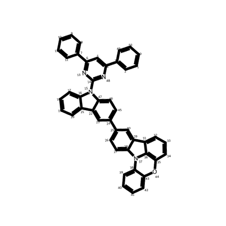 c1ccc(-c2cc(-c3ccccc3)nc(-n3c4ccccc4c4cc(-c5ccc6c(c5)c5cccc7c5n6-c5ccccc5O7)ccc43)n2)cc1